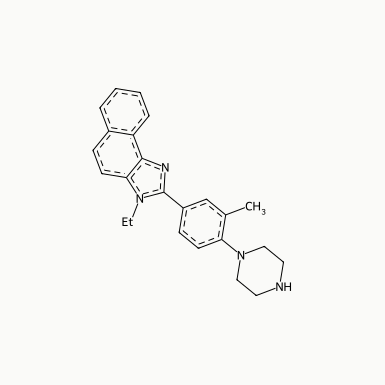 CCn1c(-c2ccc(N3CCNCC3)c(C)c2)nc2c3ccccc3ccc21